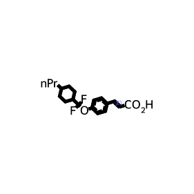 CCCC1CCC(C(F)(F)Oc2ccc(/C=C/C(=O)O)cc2)CC1